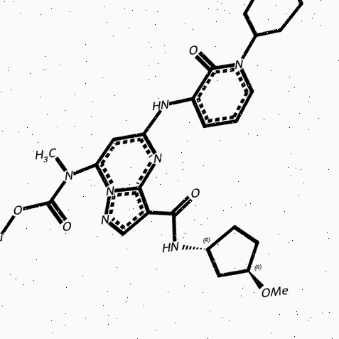 CO[C@@H]1CC[C@@H](NC(=O)c2cnn3c(N(C)C(=O)OC(C)(C)C)cc(Nc4cccn(C5CCOCC5)c4=O)nc23)C1